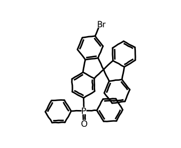 O=P(c1ccccc1)(c1ccccc1)c1ccc2c(c1)C1(c3ccccc3-c3ccccc31)c1cc(Br)ccc1-2